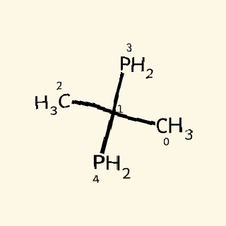 CC(C)(P)P